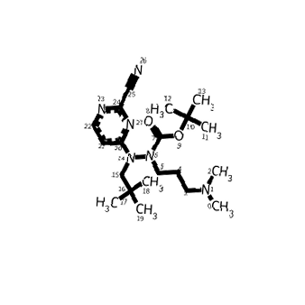 CN(C)CCCN(C(=O)OC(C)(C)C)N(CC(C)(C)C)c1ccnc(C#N)n1